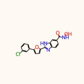 O=C(NO)c1ccc2nc(-c3ccc(-c4cccc(Cl)c4)o3)[nH]c2c1